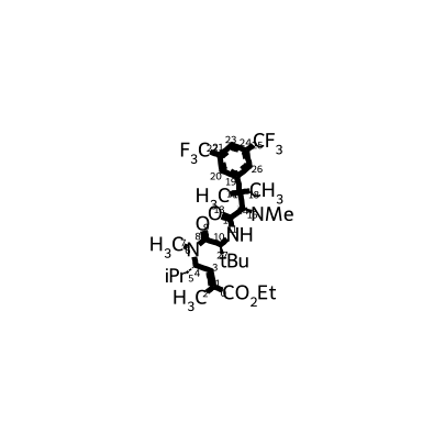 CCOC(=O)/C(C)=C/[C@H](C(C)C)N(C)C(=O)[C@@H](NC(=O)[C@H](NC)C(C)(C)c1cc(C(F)(F)F)cc(C(F)(F)F)c1)C(C)(C)C